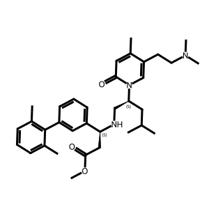 COC(=O)C[C@H](NC[C@H](CC(C)C)n1cc(CCN(C)C)c(C)cc1=O)c1cccc(-c2c(C)cccc2C)c1